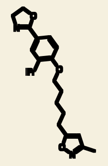 Cc1cc(CCCCCOc2ccc(C3=NCCO3)cc2C(C)C)on1